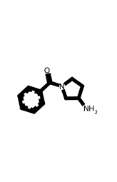 NC1CCN(C(=O)c2cc[c]cc2)C1